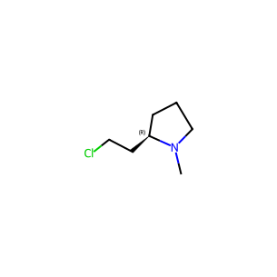 CN1CCC[C@@H]1CCCl